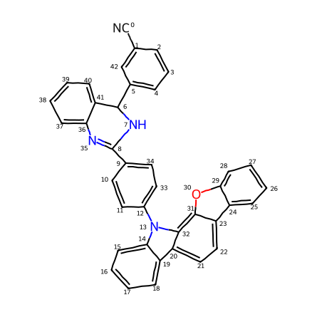 N#Cc1cccc(C2NC(c3ccc(-n4c5ccccc5c5ccc6c7ccccc7oc6c54)cc3)=Nc3ccccc32)c1